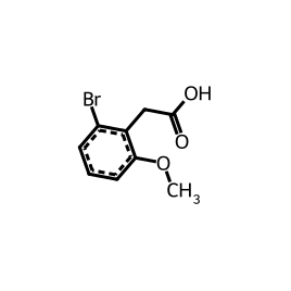 COc1cccc(Br)c1CC(=O)O